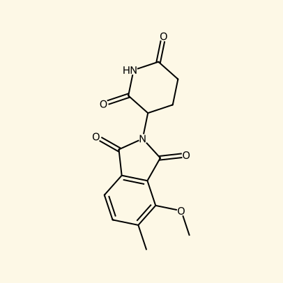 COc1c(C)ccc2c1C(=O)N(C1CCC(=O)NC1=O)C2=O